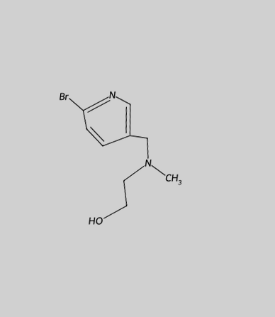 CN(CCO)Cc1ccc(Br)nc1